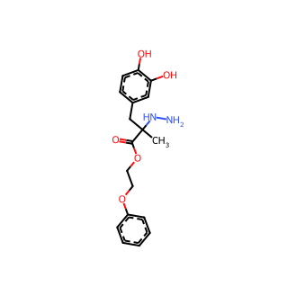 CC(Cc1ccc(O)c(O)c1)(NN)C(=O)OCCOc1ccccc1